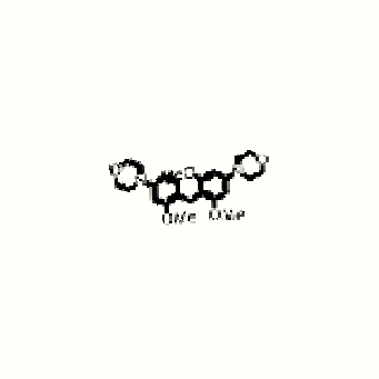 COc1cc(N2CCOCC2)ccc1Cc1c(OC)cc(N2CCOCC2)cc1OC